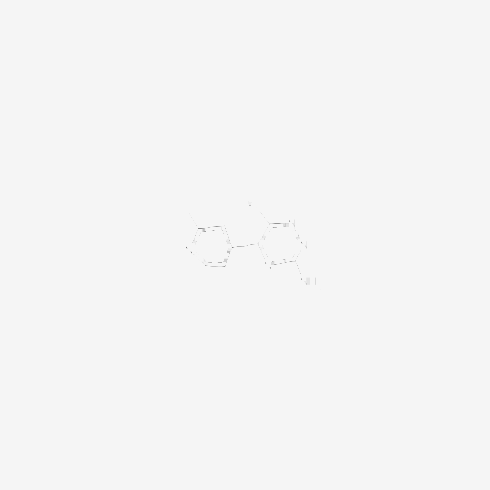 Cc1cc(-c2nc(N)nnc2Br)ccn1